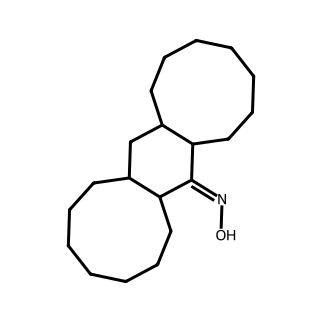 ON=C1C2CCCCCCCC2CC2CCCCCCCC12